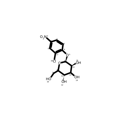 O=[N+]([O-])c1ccc(O[C@@H]2OC(CO)[C@@H](O)C(O)[C@@H]2O)c(Cl)c1